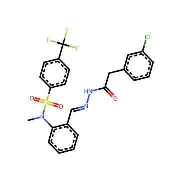 CN(c1ccccc1/C=N/NC(=O)Cc1cccc(Cl)c1)S(=O)(=O)c1ccc(C(F)(F)F)cc1